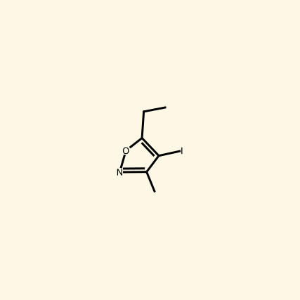 CCc1onc(C)c1I